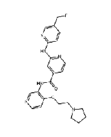 O=C(Nc1cnccc1OCCN1CCCC1)c1ccnc(Nc2ccc(CF)cn2)c1